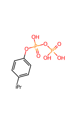 CC(C)c1ccc(OP(=O)(O)OP(=O)(O)O)cc1